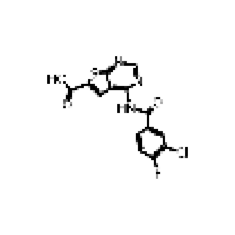 O=C(Nc1ncnc2sc(C(=O)O)cc12)c1ccc(F)c(Cl)c1